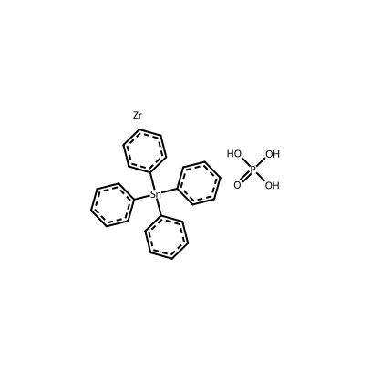 O=P(O)(O)O.[Zr].c1cc[c]([Sn]([c]2ccccc2)([c]2ccccc2)[c]2ccccc2)cc1